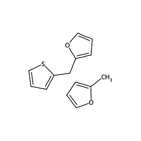 Cc1ccco1.c1coc(Cc2cccs2)c1